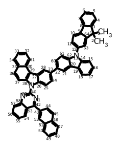 CC1(C)c2ccccc2-c2ccc(-n3c4ccccc4c4cc(-c5ccc6c(c5)c5c7ccccc7ccc5n6-c5nc(-c6ccc7ccccc7c6)c6ccccc6n5)ccc43)cc21